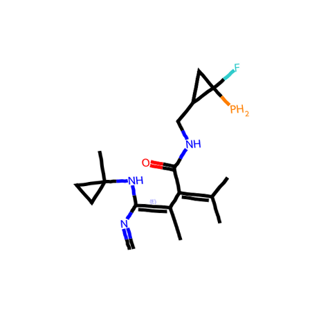 C=N/C(NC1(C)CC1)=C(\C)C(C(=O)NCC1CC1(F)P)=C(C)C